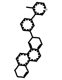 Cc1ccncc1-c1cccc(C2C=c3c(ccc4c5c(ccc34)CCC=C5)=CC2)c1